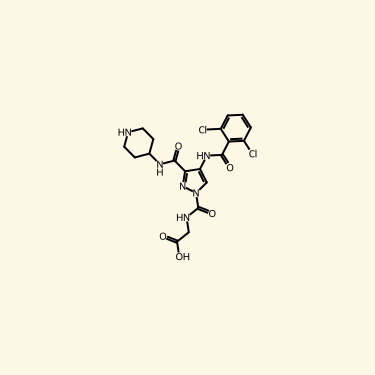 O=C(O)CNC(=O)n1cc(NC(=O)c2c(Cl)cccc2Cl)c(C(=O)NC2CCNCC2)n1